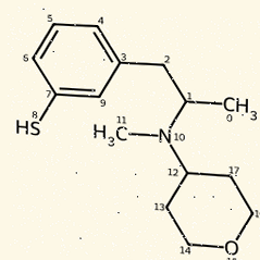 CC(Cc1cccc(S)c1)N(C)C1CCOCC1